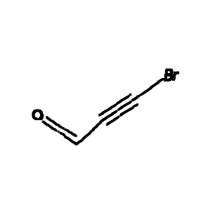 O=CC#CBr